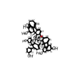 CC1=CC=C(c2cccc(O)c2)C(C)(c2cccc(O)c2)C1OP(=O)(OC1C(C)=CC=C(c2cccc(O)c2)C1(C)c1cccc(O)c1)OC1C(C)=CC=C(c2cccc(O)c2)C1(C)c1cccc(O)c1